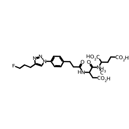 CN(C(=O)C(CC(=O)O)NC(=O)CCc1ccc(-n2cc(CCCF)nn2)cc1)C(CCC(=O)O)C(=O)O